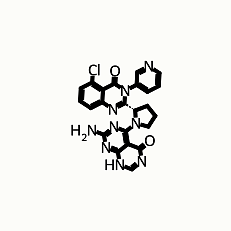 Nc1nc(N2CCC[C@H]2c2nc3cccc(Cl)c3c(=O)n2-c2cccnc2)c2c(=O)nc[nH]c2n1